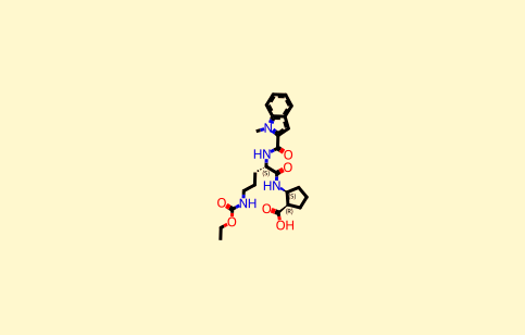 CCOC(=O)NCCC[C@H](NC(=O)c1cc2ccccc2n1C)C(=O)N[C@H]1CCC[C@H]1C(=O)O